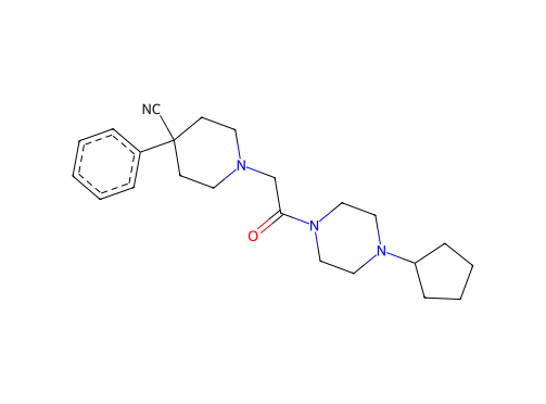 N#CC1(c2ccccc2)CCN(CC(=O)N2CCN(C3CCCC3)CC2)CC1